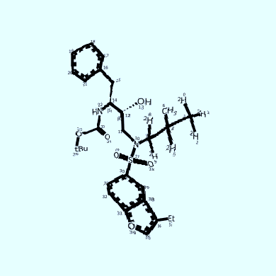 [2H]C([2H])([2H])C([2H])(C)C([2H])([2H])N(C[C@@H](O)[C@H](Cc1ccccc1)NC(=O)OC(C)(C)C)S(=O)(=O)c1ccc2occ(CC)c2c1